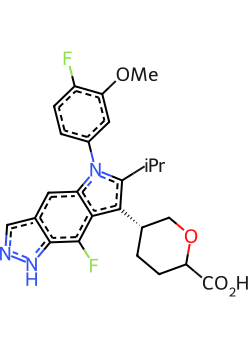 COc1cc(-n2c(C(C)C)c([C@H]3CCC(C(=O)O)OC3)c3c(F)c4[nH]ncc4cc32)ccc1F